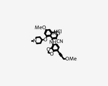 COCC#Cc1ccc(Nc2c(C#N)cnc3cc(OC)cc(OC4CCN(C)CC4)c23)c2c1OCO2.Cl.Cl